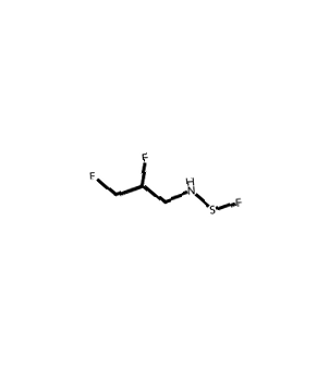 FCC(F)CNSF